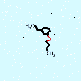 CC=Cc1cccc(OCCCC)c1